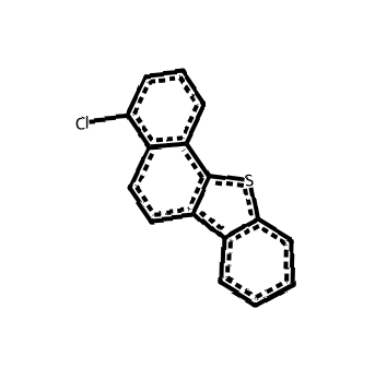 Clc1cccc2c1ccc1c3ccccc3sc21